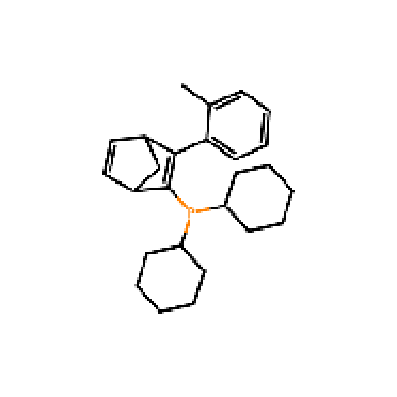 Cc1ccccc1C1=C(P(C2CCCCC2)C2CCCCC2)C2C=CC1C2